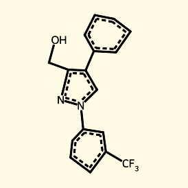 OCc1nn(-c2cccc(C(F)(F)F)c2)cc1-c1ccccc1